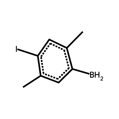 Bc1cc(C)c(I)cc1C